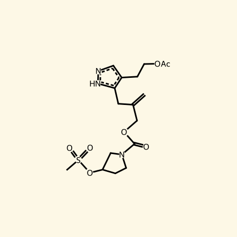 C=C(COC(=O)N1CCC(OS(C)(=O)=O)C1)Cc1[nH]ncc1CCOC(C)=O